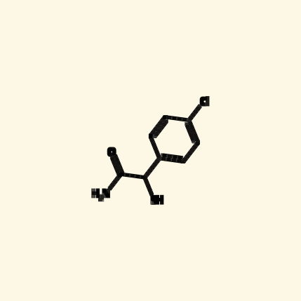 NC(=O)C(S)c1ccc(Cl)cc1